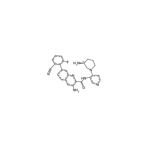 N#Cc1cccc(F)c1-c1ccc2cc(N)c(C(=O)Nc3cnccc3N3CCC[C@H](N)C3)nc2c1